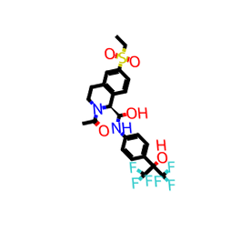 CCS(=O)(=O)c1ccc2c(c1)CCN(C(C)=O)[C@@H]2C(O)Nc1ccc(C(O)(C(F)(F)F)C(F)(F)F)cc1